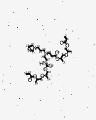 C=CC(=O)OCC(C)OCC(C)OC(=O)CCN(CCCn1ccnc1)CCNC(=O)OCC(C)OCC(C)OC(=O)C=C